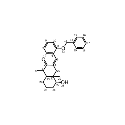 CC1C(=O)/C(=C\c2ccccc2OCc2ccccc2)C[C@@]2(C)C1CCC[C@@H]2O